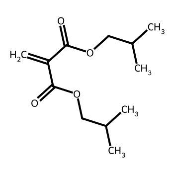 C=C(C(=O)OCC(C)C)C(=O)OCC(C)C